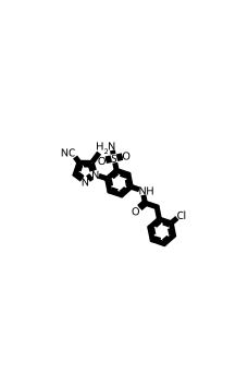 Cc1c(C#N)cnn1-c1ccc(NC(=O)Cc2ccccc2Cl)cc1S(N)(=O)=O